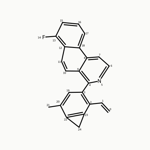 C=Cc1c(-c2nccc3c2ccc2c(F)cccc23)cc(C)c2c1C2